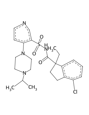 CCC1(C(=O)NS(=O)(=O)c2cnccc2N2CCN(C(C)C)CC2)CCc2c(Cl)cccc21